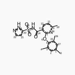 Cc1cc(C)c(Oc2nc(C)ccc2C(=O)NS(=O)(=O)c2ccn[nH]2)c(C)c1